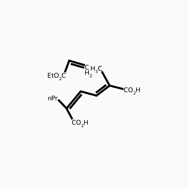 C=CC(=O)OCC.CCCC(=CC=C(C)C(=O)O)C(=O)O